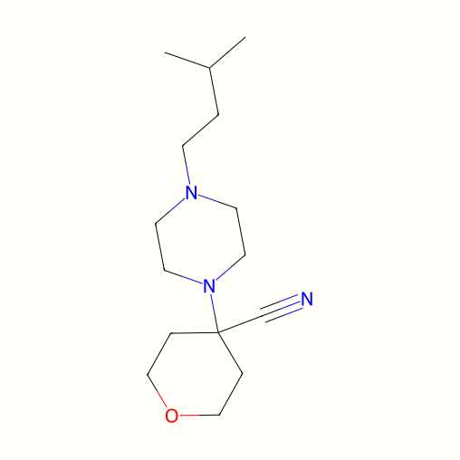 CC(C)CCN1CCN(C2(C#N)CCOCC2)CC1